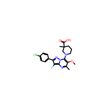 COc1c(C)nc2c(F)c(-c3ccc(Cl)cc3)nn2c1N1CCCC(C)(C(=O)O)C1